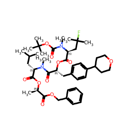 CC(C)C[C@@H](C(=O)O[C@H](C)C(=O)OCc1ccccc1)N(C)C(=O)[C@@H](Cc1ccc(C2CCOCC2)cc1)OC(=O)[C@H](CC(C)(C)F)N(C)C(=O)OC(C)(C)C